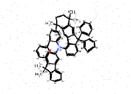 CC1(C)CCC(C)(C)c2cc3c(cc21)-c1c(N(c2ccc4c(c2)-c2ccccc2C4(C)C)c2ccccc2-c2ccccc2)cccc1C3(c1ccccc1)c1ccccc1